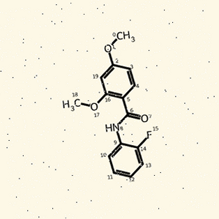 COc1ccc(C(=O)Nc2ccccc2F)c(OC)c1